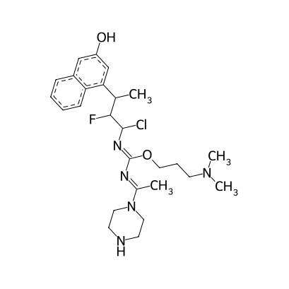 C/C(=N\C(=NC(Cl)C(F)C(C)c1cc(O)cc2ccccc12)OCCCN(C)C)N1CCNCC1